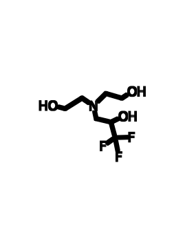 OCCN(CCO)CC(O)C(F)(F)F